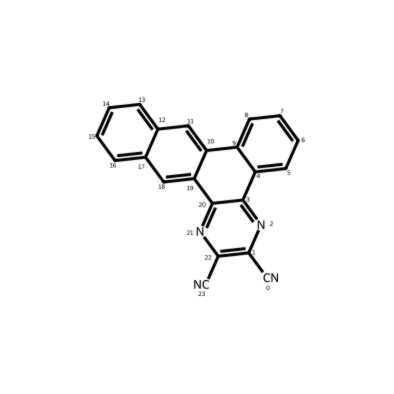 N#Cc1nc2c3ccccc3c3cc4ccccc4cc3c2nc1C#N